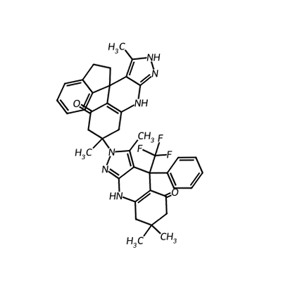 Cc1[nH]nc2c1C1(CCc3ccccc31)C1=C(CC(C)(n3nc4c(c3C)C(c3ccccc3)(C(F)(F)F)C3=C(CC(C)(C)CC3=O)N4)CC1=O)N2